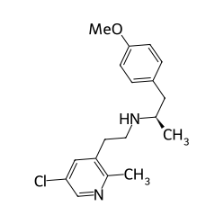 COc1ccc(C[C@@H](C)NCCc2cc(Cl)cnc2C)cc1